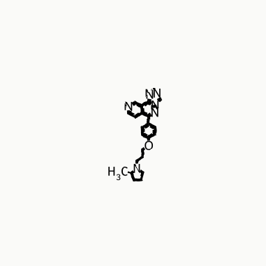 C[C@@H]1CCCN1CCCOc1ccc(-c2nn3cnnc3c3cnccc23)cc1